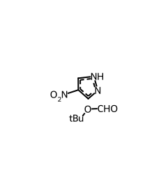 CC(C)(C)OC=O.O=[N+]([O-])c1cn[nH]c1